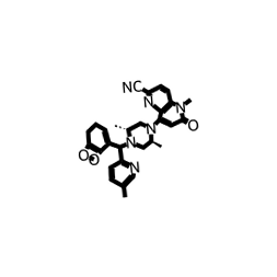 Cc1ccc(C(C2=CCCc3ooc32)N2C[C@H](C)N(c3cc(=O)n(C)c4ccc(C#N)nc34)C[C@H]2C)nc1